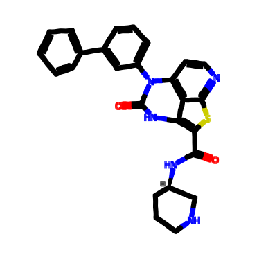 O=C(N[C@@H]1CCCNC1)c1sc2nccc3c2c1NC(=O)N3c1cccc(-c2ccccc2)c1